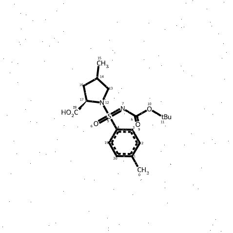 Cc1ccc(S(=O)(=NC(=O)OC(C)(C)C)N2CC(C)C[C@@H]2C(=O)O)cc1